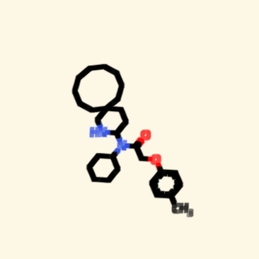 Cc1ccc(OCC(=O)N(C2CCCCC2)C2CCC3(CCCCCCCCC3)CN2)cc1